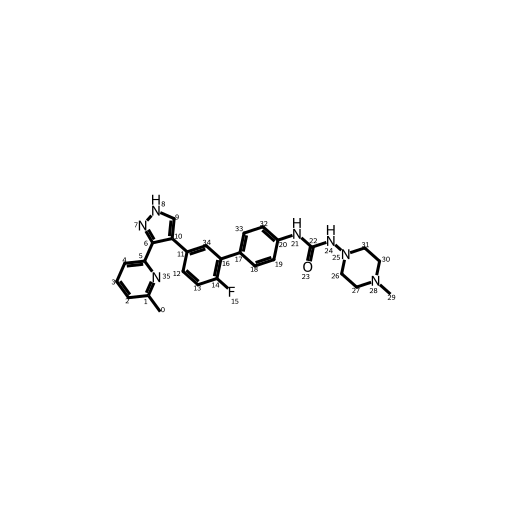 Cc1cccc(-c2n[nH]cc2-c2ccc(F)c(-c3ccc(NC(=O)NN4CCN(C)CC4)cc3)c2)n1